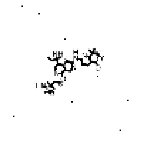 CCC(C)(N)c1cnc(O[C@H](C)CC(C)(C)S(C)(=N)=O)c2cnc(Nc3ccc4c(n3)C(C)(C)[C@H](C)OC4=O)cc12